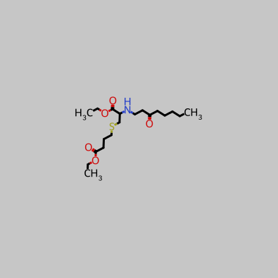 CCCCCC(=O)CCNC(CSCCCC(=O)OCC)C(=O)OCC